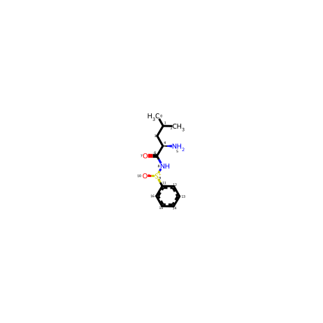 CC(C)C[C@@H](N)C(=O)N[S+]([O-])c1ccccc1